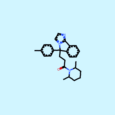 Cc1ccc(C2(CCC(=O)N3C(C)CCCC3C)c3ccccc3-c3nccn32)cc1